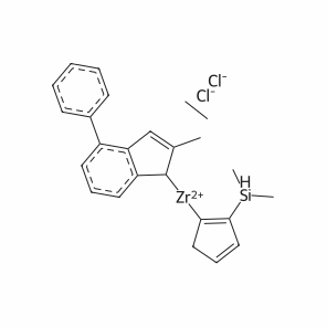 CC.CC1=Cc2c(-c3ccccc3)cccc2[CH]1[Zr+2][C]1=C([SiH](C)C)C=CC1.[Cl-].[Cl-]